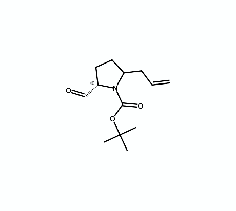 C=CCC1CC[C@@H](C=O)N1C(=O)OC(C)(C)C